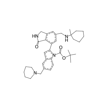 CC1(NCc2cc3c(c(-c4cc5cc(CN6CCCCC6)ccc5n4C(=O)OC(C)(C)C)c2)C(=O)NC3)CCCCC1